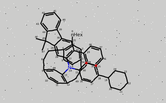 CCCCCCc1cc2ccc1CCc1ccc(c(N(c3ccc(C4CCCCC4)cc3)c3cc4c(cc3-c3ccccc3)-c3ccccc3C4(C)C)c1)CC2